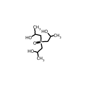 CC(O)CP(=O)(CC(C)O)CC(C)O